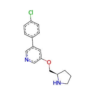 Clc1ccc(-c2cncc(OC[C@H]3CCCN3)c2)cc1